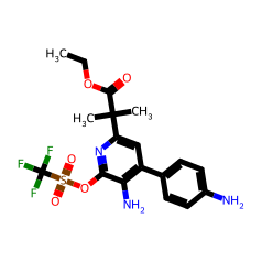 CCOC(=O)C(C)(C)c1cc(-c2ccc(N)cc2)c(N)c(OS(=O)(=O)C(F)(F)F)n1